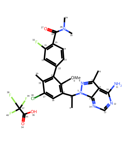 COc1c(C(C)n2nc(C)c3c(N)ncnc32)cc(Cl)c(C)c1-c1ccc(C(=O)N(C)C)c(F)c1.O=C(O)C(F)(F)F